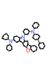 c1ccc(-c2ccc(N(c3ccccc3)c3cccc(-n4c5ccc(N(c6ccccc6)c6ccccc6)cc5c5cc6oc7ccccc7c6cc54)c3)cc2)cc1